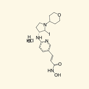 Cl.Cl.O=C(C=Cc1ccc(N[C@@H]2CCN(C3CCOCC3)C2I)nc1)NO